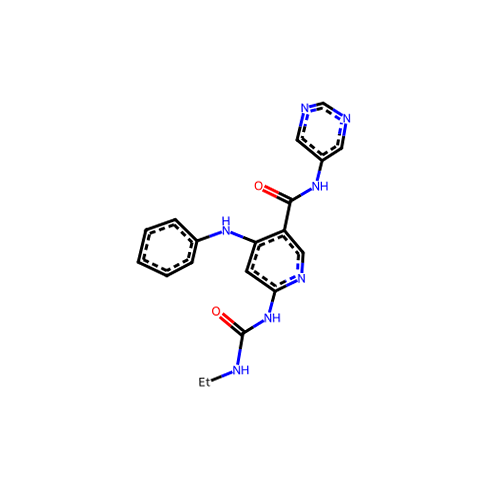 CCNC(=O)Nc1cc(Nc2ccccc2)c(C(=O)Nc2cncnc2)cn1